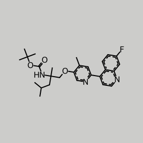 Cc1cc(-c2ccnc3cc(F)ccc23)ncc1OCC(C)(CC(C)C)NC(=O)OC(C)(C)C